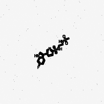 CS(=O)(=O)NCCNS(=O)(=O)c1ccc(-c2c[nH]c3cc(F)ccc23)cn1